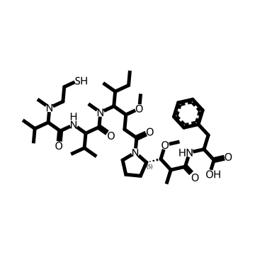 CCC(C)C(C(CC(=O)N1CCC[C@H]1C(OC)C(C)C(=O)NC(Cc1ccccc1)C(=O)O)OC)N(C)C(=O)C(NC(=O)C(C(C)C)N(C)CCS)C(C)C